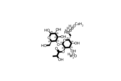 CC(O)C(=O)O[C@H]1[C@H](O[C@H]2[C@H](O)[C@@H](O)[C@H](O)O[C@@H]2CO)O[C@H](CO)[C@H](O)[C@@H]1O.O.O.O.O.O.[CaH2]